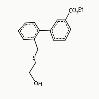 CCOC(=O)c1cccc(-c2ccccc2CSCCO)c1